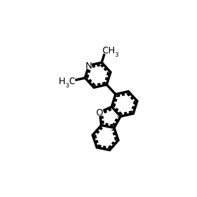 Cc1cc(-c2cccc3c2oc2ccccc23)cc(C)n1